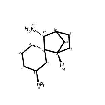 CCC[C@H]1CCC[C@@]2(C1)[C@H]1CCC(C1)[C@H]2N